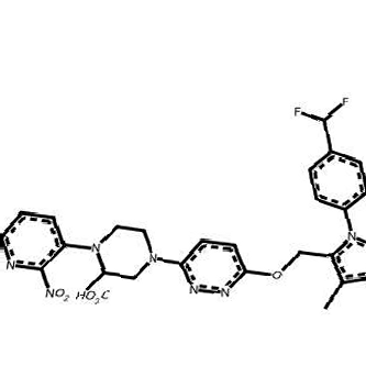 Cc1nnn(-c2ccc(C(F)F)cc2)c1COc1ccc(N2CCN(c3cccnc3[N+](=O)[O-])C(C(=O)O)C2)nn1